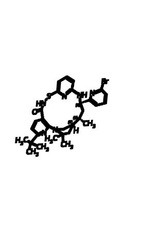 C[C@H]1C[C@H](c2cccc(Br)n2)Nc2cccc(n2)SNC(=O)c2ccc(C(C)(C)C)nc2N2C[C@@H]1CC2(C)C